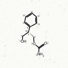 NC(=O)OC[C@H](CO)c1ccccc1